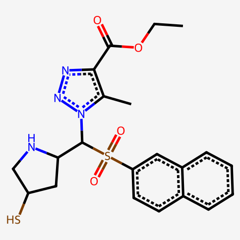 CCOC(=O)c1nnn(C(C2CC(S)CN2)S(=O)(=O)c2ccc3ccccc3c2)c1C